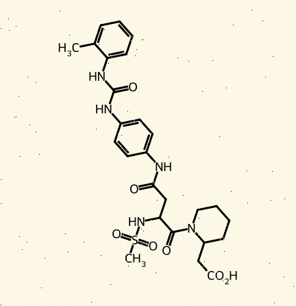 Cc1ccccc1NC(=O)Nc1ccc(NC(=O)CC(NS(C)(=O)=O)C(=O)N2CCCCC2CC(=O)O)cc1